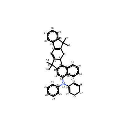 CC1(C)C2=C(C=C3C(C2)c2c(cc(N(C4=CCCC=C4)c4ccccc4)c4ccccc24)C3(C)C)c2ccccc21